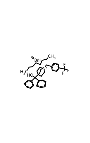 Br.CCCCCCCC.OC(c1ccccc1)(c1ccccc1)C12CC[N+](Cc3ccc(C(F)(F)F)cc3)(CC1)CC2.[Br-]